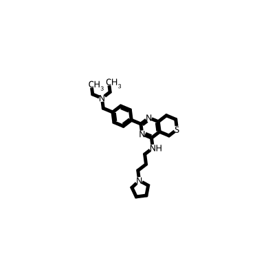 CCN(CC)Cc1ccc(-c2nc3c(c(NCCCN4CCCC4)n2)CSCC3)cc1